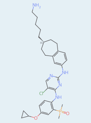 CP(C)(=O)c1cc(OC2CC2)ccc1Nc1nc(Nc2ccc3c(c2)CC[C@@H](CCCCCN)CC3)ncc1Cl